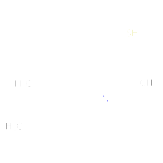 Cc1nc(CC(C)C)ccc1S